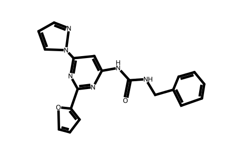 O=C(NCc1ccccc1)Nc1cc(-n2cccn2)nc(-c2ccco2)n1